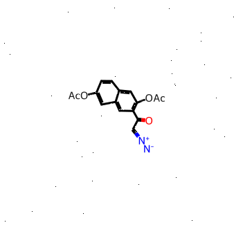 CC(=O)Oc1ccc2cc(OC(C)=O)c(C(=O)C=[N+]=[N-])cc2c1